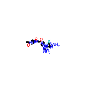 C=CC(=O)N1CCC(C(=O)NCCC(=O)N2CCN(c3nc(N)nc(-c4cnc(N)nc4C(F)F)n3)CC2)CC1